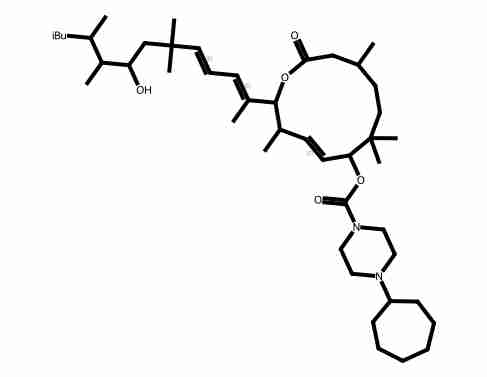 CCC(C)C(C)C(C)C(O)CC(C)(C)/C=C/C=C(\C)C1OC(=O)CC(C)CCC(C)(C)C(OC(=O)N2CCN(C3CCCCCC3)CC2)/C=C/C1C